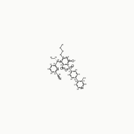 CCCCc1nc(=O)c(S(=O)(=O)c2ccc(-c3ccncc3C)cc2)c(O)n1[C@@H](CC)c1cccc(C#N)n1